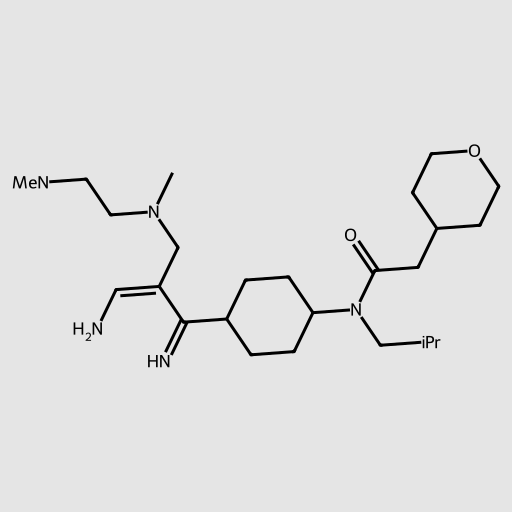 CNCCN(C)C/C(=C/N)C(=N)C1CCC(N(CC(C)C)C(=O)CC2CCOCC2)CC1